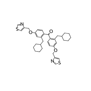 O=C(c1ccc(OCc2cscn2)cc1CC1CCCCC1)c1ccc(OCc2cscn2)cc1CC1CCCCC1